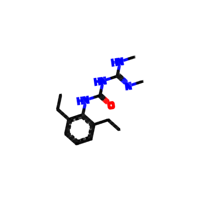 CCc1cccc(CC)c1NC(=O)NC(=NC)NC